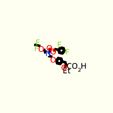 CCOC(Cc1ccc(OCCN(CCOCC(C)(F)F)C(=O)OCc2ccc(F)cc2F)cc1)C(=O)O